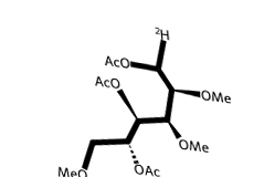 [2H]C(OC(C)=O)[C@@H](OC)[C@@H](OC)[C@H](OC(C)=O)[C@@H](COC)OC(C)=O